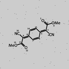 COC(=O)C(C#N)=c1ccc(=C(C#N)C(=O)OC)cc1